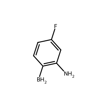 Bc1ccc(F)cc1N